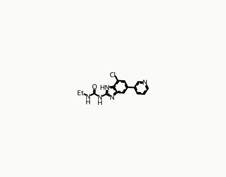 CCNC(=O)Nc1nc2cc(-c3cccnc3)cc(Cl)c2[nH]1